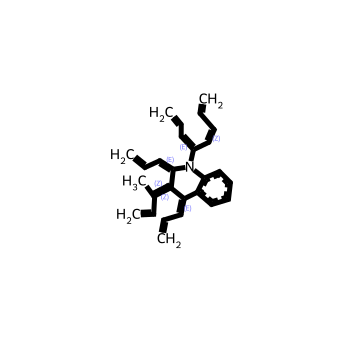 C=C/C=C\C(=C/C=C)c1ccccc1N(C(/C=C\C)=C/C=C)C(/C=C\C=C)=C/C=C